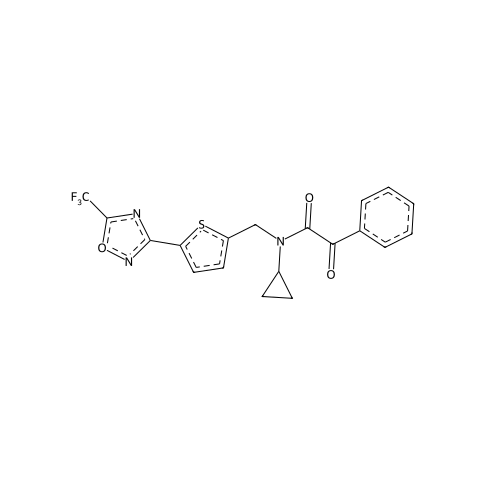 O=C(C(=O)N(Cc1ccc(-c2noc(C(F)(F)F)n2)s1)C1CC1)c1ccccc1